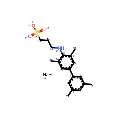 Cc1cc(C)cc(-c2cc(C)c(NCCCS(=O)(=O)O)c(C)c2)c1.[NaH]